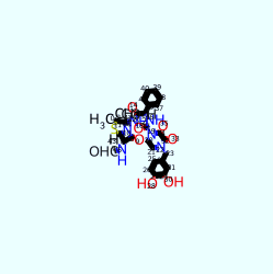 CC1(C)S[C@@H]2[C@H](NC=O)C(=O)N2[C@@]1(NC(=O)C(NC(=O)N1CCN(Cc2ccc(O)c(O)c2)C(=O)C1=O)c1ccccc1)C(=O)O